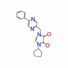 O=c1c(=O)n(C2CCCC2)ccn1Cc1cnc(-c2ccccc2)cn1